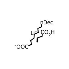 C=CCC(=O)O.CCCCCCCCCCCCCCCCCC(=O)[O-].[Li+]